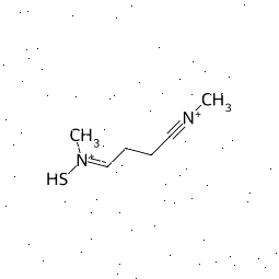 C[N+]#CCC/C=[N+](\C)S